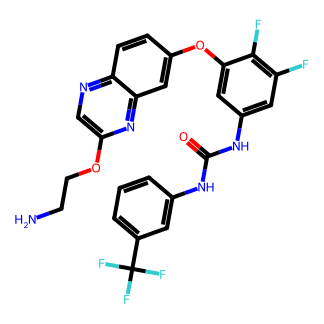 NCCOc1cnc2ccc(Oc3cc(NC(=O)Nc4cccc(C(F)(F)F)c4)cc(F)c3F)cc2n1